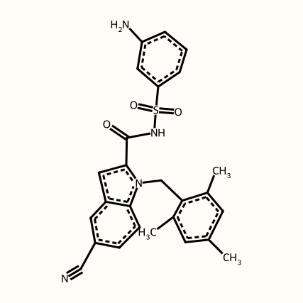 Cc1cc(C)c(Cn2c(C(=O)NS(=O)(=O)c3cccc(N)c3)cc3cc(C#N)ccc32)c(C)c1